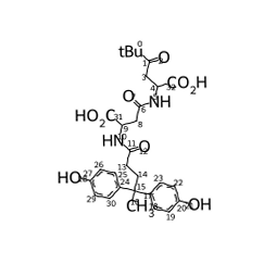 CC(C)(C)C(=O)CC(NC(=O)CC(NC(=O)CCC(C)(c1ccc(O)cc1)c1ccc(O)cc1)C(=O)O)C(=O)O